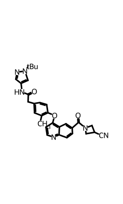 Cc1cc(CC(=O)Nc2cnn(C(C)(C)C)c2)ccc1Oc1ccnc2ccc(C(=O)N3CC(C#N)C3)cc12